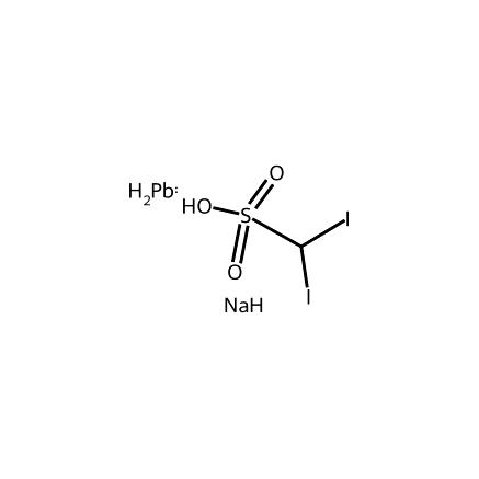 O=S(=O)(O)C(I)I.[NaH].[PbH2]